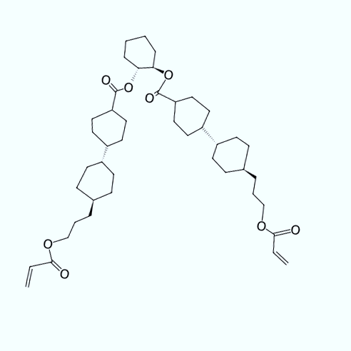 C=CC(=O)OCCC[C@H]1CC[C@H](C2CCC(C(=O)O[C@@H]3CCCC[C@H]3OC(=O)C3CCC([C@H]4CC[C@H](CCCOC(=O)C=C)CC4)CC3)CC2)CC1